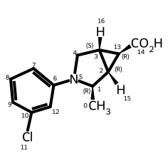 C[C@@H]1[C@@H]2[C@H](CN1c1cccc(Cl)c1)[C@H]2C(=O)O